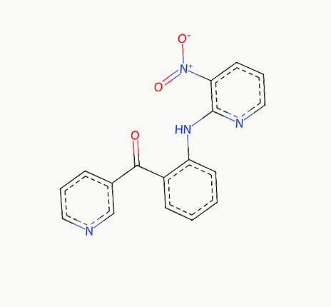 O=C(c1cccnc1)c1ccccc1Nc1ncccc1[N+](=O)[O-]